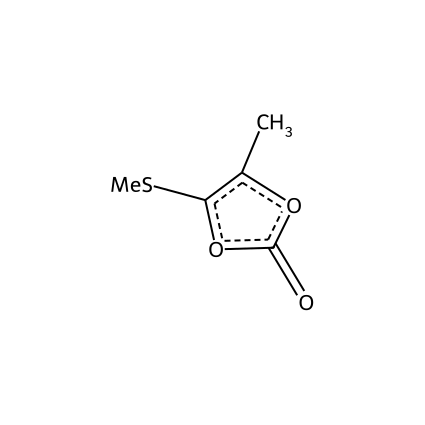 CSc1oc(=O)oc1C